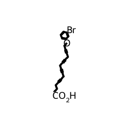 O=C(O)CCCC#CCC#CCC#CCC#CCOc1cccc(Br)c1